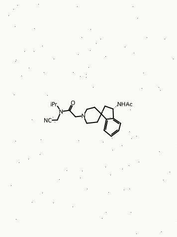 CC(=O)N[C@H]1CC2(CCN(CC(=O)N(CC#N)C(C)C)CC2)c2ccccc21